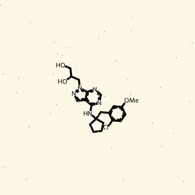 COc1ccc(Cl)c(CC2(Nc3ncnc4c3cnn4CC(O)CO)CCCC2)c1